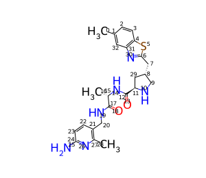 Cc1ccc2sc(C[C@@H]3CN[C@@H](C(=O)N[C@@H](C)C(=O)NCc4ccc(N)nc4C)C3)nc2c1